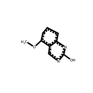 COc1cccc2nc(O)ncc12